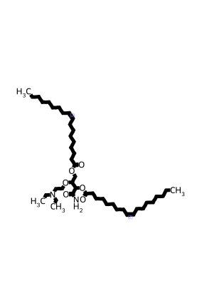 CCCCCCCC/C=C\CCCCCCCC(=O)OCC(OCCN(CC)CC)C(OC(=O)CCCCCCC/C=C\CCCCCCCC)C(N)=O